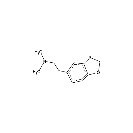 CN(C)CCc1ccc2c(c1)SCO2